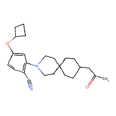 CC(=O)CC1CCC2(CC1)CCN(c1cc(OC3CCC3)ccc1C#N)CC2